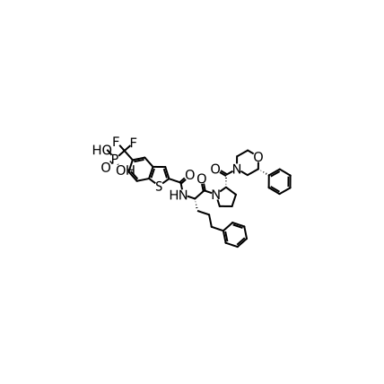 O=C(N[C@@H](CCCc1ccccc1)C(=O)N1CCC[C@H]1C(=O)N1CCO[C@H](c2ccccc2)C1)c1cc2cc(C(F)(F)P(=O)(O)O)ccc2s1